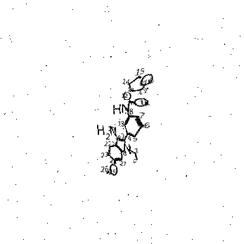 CCn1c(-c2cccc(NC(=O)OC3CCOC3)c2)c(N)c2ccc(OC)cc21